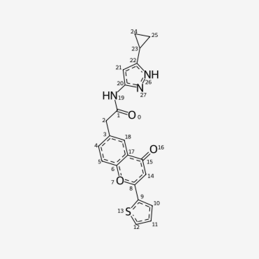 O=C(Cc1ccc2oc(-c3cccs3)cc(=O)c2c1)Nc1cc(C2CC2)[nH]n1